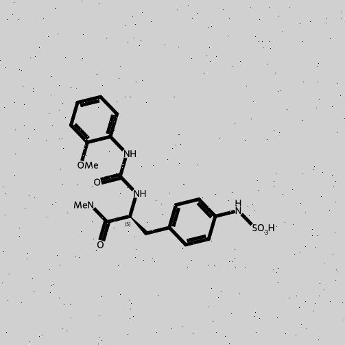 CNC(=O)[C@H](Cc1ccc(NS(=O)(=O)O)cc1)NC(=O)Nc1ccccc1OC